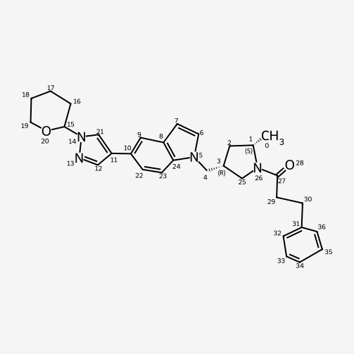 C[C@H]1C[C@@H](Cn2ccc3cc(-c4cnn(C5CCCCO5)c4)ccc32)CN1C(=O)CCc1ccccc1